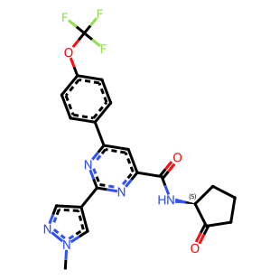 Cn1cc(-c2nc(C(=O)N[C@H]3CCCC3=O)cc(-c3ccc(OC(F)(F)F)cc3)n2)cn1